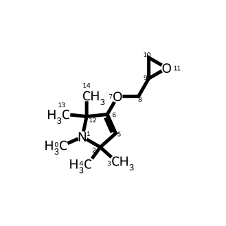 CN1C(C)(C)C=C(OCC2CO2)C1(C)C